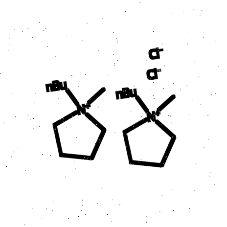 CCCC[N+]1(C)CCCC1.CCCC[N+]1(C)CCCC1.[Cl-].[Cl-]